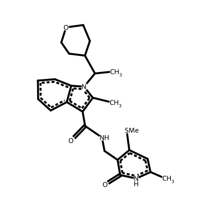 CSc1cc(C)[nH]c(=O)c1CNC(=O)c1c(C)n(C(C)C2CCOCC2)c2ccccc12